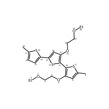 CCOCCOc1cc(C)sc1-c1sc(-c2ccc(C)s2)cc1OCCOCC